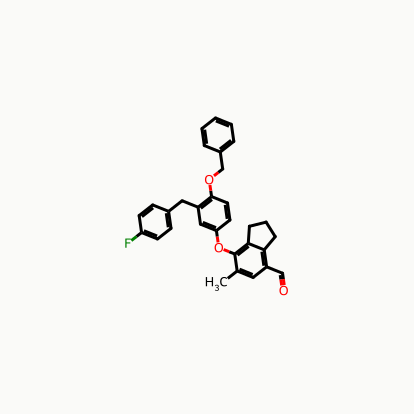 Cc1cc(C=O)c2c(c1Oc1ccc(OCc3ccccc3)c(Cc3ccc(F)cc3)c1)CCC2